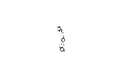 Cc1ccc(Cl)c(S(=O)(=O)c2ccc(CNC(=O)c3cc4ccncc4o3)cc2)c1